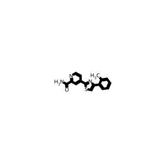 Cc1ccccc1-c1csc(-c2ccnc(C(N)=O)c2)n1